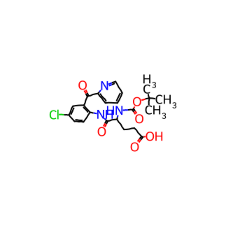 CC(C)(C)OC(=O)NC(CCC(=O)O)C(=O)Nc1ccc(Cl)cc1C(=O)c1ccccn1